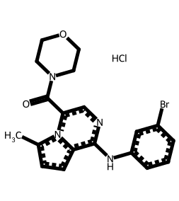 Cc1ccc2c(Nc3cccc(Br)c3)ncc(C(=O)N3CCOCC3)n12.Cl